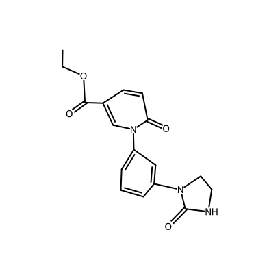 CCOC(=O)c1ccc(=O)n(-c2cccc(N3CCNC3=O)c2)c1